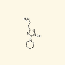 Cl.NCCc1nc(N2CCCCC2)ns1